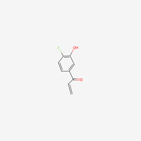 C=CC(=O)c1ccc(F)c(O)c1